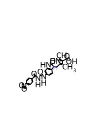 Cc1[nH]c(/C=C2\C(=O)Nc3cc(NC(=O)NC(=O)c4ccc([N+](=O)[O-])cc4)ccc32)c(C)c1C(=O)O